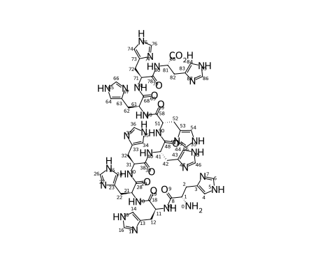 N[C@@H](Cc1c[nH]cn1)C(=O)N[C@@H](Cc1c[nH]cn1)C(=O)N[C@@H](Cc1c[nH]cn1)C(=O)N[C@@H](Cc1c[nH]cn1)C(=O)N[C@@H](Cc1c[nH]cn1)C(=O)N[C@@H](Cc1c[nH]cn1)C(=O)N[C@@H](Cc1c[nH]cn1)C(=O)N[C@@H](Cc1c[nH]cn1)C(=O)N[C@@H](Cc1c[nH]cn1)C(=O)O